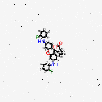 O=C1OC2(c3ccc(Nc4ccccc4F)cc3Oc3cc(Nc4ccccc4F)ccc32)c2ccccc21